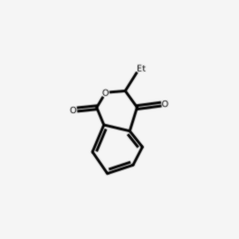 CCC1OC(=O)c2ccccc2C1=O